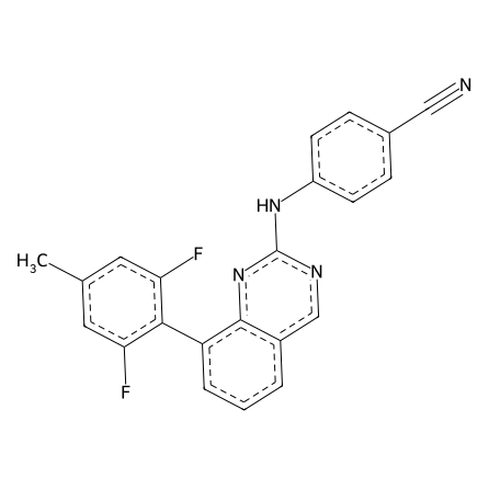 Cc1cc(F)c(-c2cccc3cnc(Nc4ccc(C#N)cc4)nc23)c(F)c1